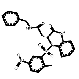 Cc1ccc([N+](=O)[O-])cc1S(=O)(=O)N1c2ccccc2NC(=O)[C@H]1CC(=O)NCc1ccccc1